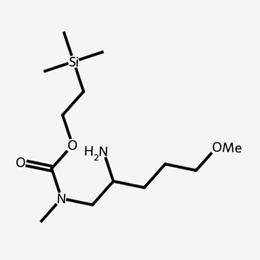 COCCCC(N)CN(C)C(=O)OCC[Si](C)(C)C